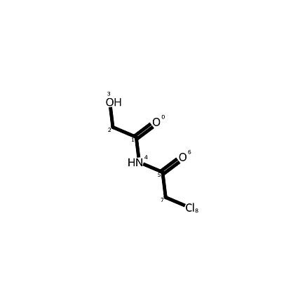 O=C(CO)NC(=O)CCl